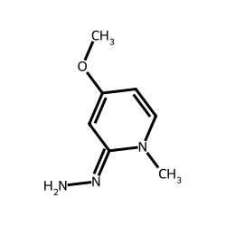 COc1ccn(C)c(=NN)c1